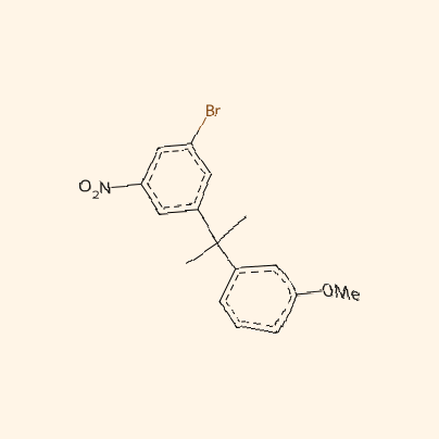 COc1cccc(C(C)(C)c2cc(Br)cc([N+](=O)[O-])c2)c1